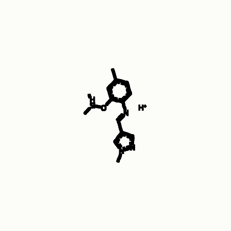 Cc1ccc(N=Cc2cnn(C)c2)c(O[SiH](C)C)c1.[H+]